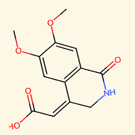 COc1cc2c(cc1OC)/C(=C\C(=O)O)CNC2=O